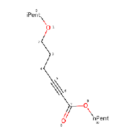 [CH2]CCC(C)OCCCC#CC(=O)OCCCCC